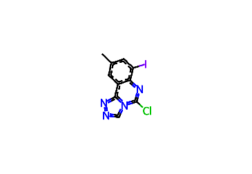 Cc1cc(I)c2nc(Cl)n3cnnc3c2c1